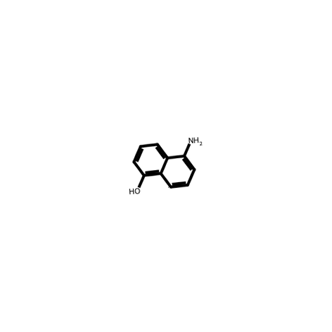 Nc1cc[c]c2c(O)cccc12